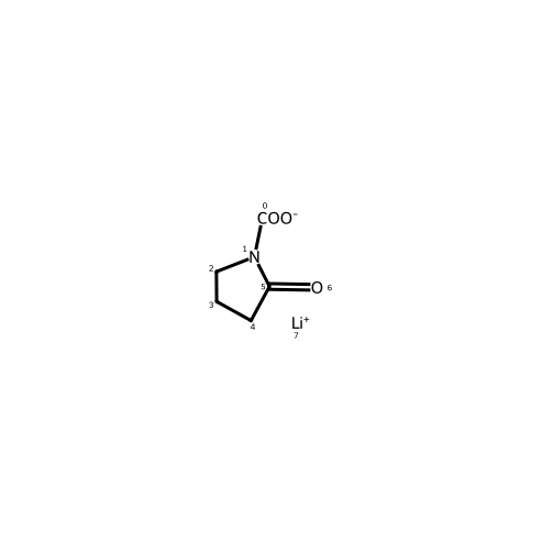 O=C([O-])N1CCCC1=O.[Li+]